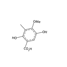 COc1c(O)cc(C(=O)O)c(O)c1C